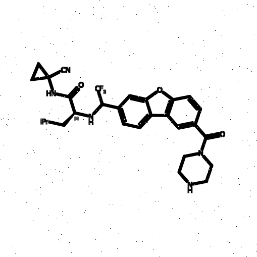 CC(C)C[C@H](NC(c1ccc2c(c1)oc1ccc(C(=O)N3CCNCC3)cc12)C(F)(F)F)C(=O)NC1(C#N)CC1